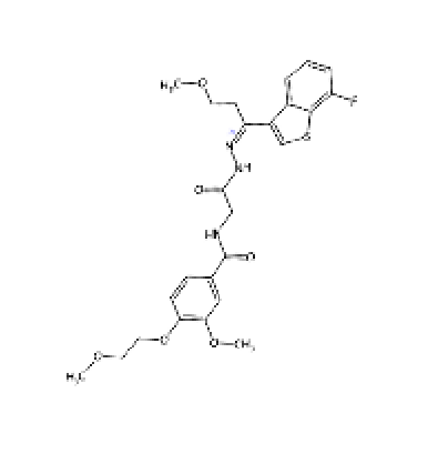 COCCOc1ccc(C(=O)NCC(=O)N/N=C(/CCOC)c2csc3c(F)cccc23)cc1OC